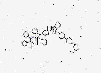 N=C(/C(C1=CC=CCC1)=C1\NC(C2C=CC=CC2)=C(c2ccc(C3N=C(C4CC=C(C5=CC=C(C6=CCCCC6)CC5)CC4)C4=C(CCC=C4)N3)cc2)c2ccccc21)c1ccccc1